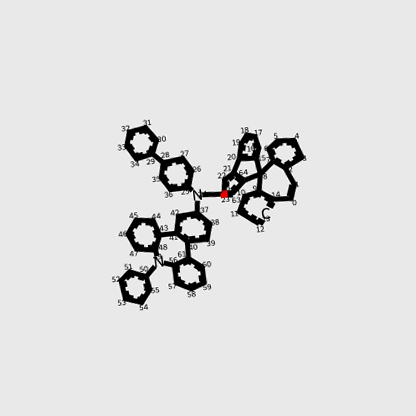 C1=Cc2ccccc2C2(c3ccccc31)c1ccccc1-c1cc(N(c3ccc(-c4ccccc4)cc3)c3ccc4c(c3)-c3ccccc3N(c3ccccc3)c3ccccc3-4)ccc12